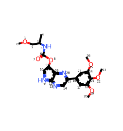 COCC(C)NC(=O)Oc1c[nH]c2ncc(-c3cc(OC)c(OC)c(OC)c3)nc12